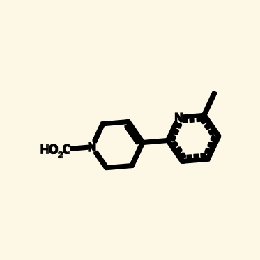 Cc1cccc(C2=CCN(C(=O)O)CC2)n1